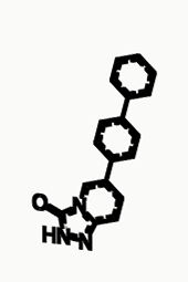 O=c1[nH]nc2ccc(-c3ccc(-c4ccccc4)cc3)cn12